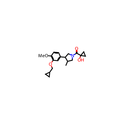 COc1ccc(C2CN(C(=O)C3(O)CC3)CC2C)cc1OCC1CC1